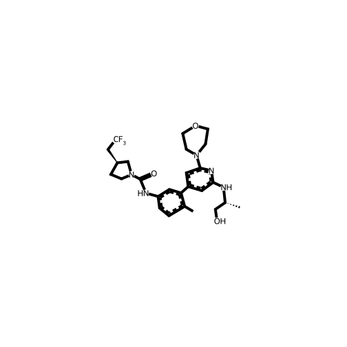 Cc1ccc(NC(=O)N2CC[C@@H](CC(F)(F)F)C2)cc1-c1cc(N[C@H](C)CO)nc(N2CCOCC2)c1